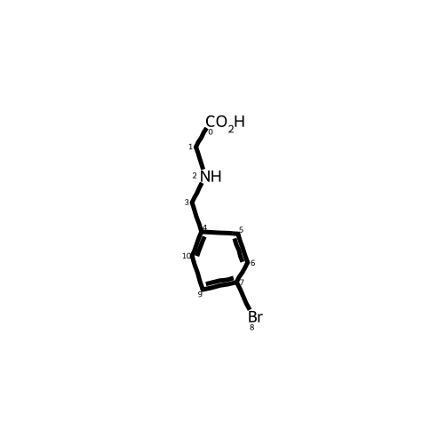 O=C(O)CNCc1ccc(Br)cc1